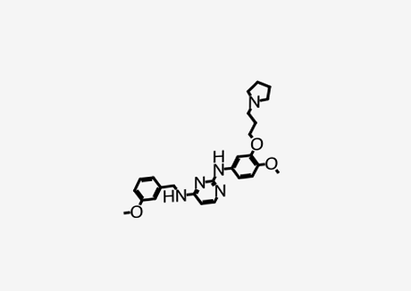 COc1cccc(CNc2ccnc(Nc3ccc(OC)c(OCCCN4CCCC4)c3)n2)c1